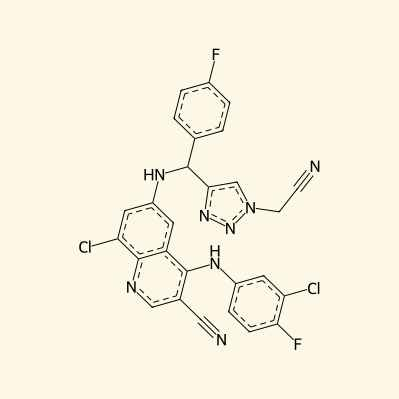 N#CCn1cc(C(Nc2cc(Cl)c3ncc(C#N)c(Nc4ccc(F)c(Cl)c4)c3c2)c2ccc(F)cc2)nn1